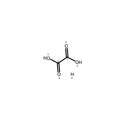 O=C(O)C(=O)O.[H]